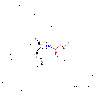 C=C/C=C\C(=C/C)CNC(=O)OCC